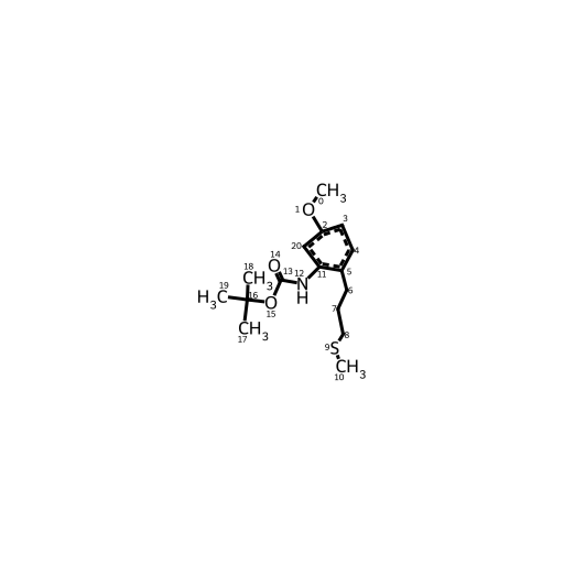 COc1ccc(CCCSC)c(NC(=O)OC(C)(C)C)c1